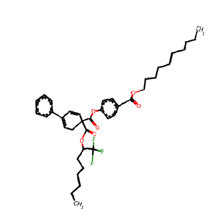 CCCCCCCCCCOC(=O)c1ccc(OC(=O)C2(C(=O)OC(CCCCCC)C(F)(F)F)C=CC(c3ccccc3)=CC2)cc1